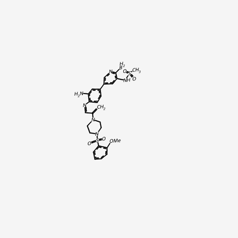 Bc1ncc(-c2ccc(/N=C\C(=C)N3CCN(S(=O)(=O)c4ccccc4OC)CC3)c(N)c2)cc1NS(C)(=O)=O